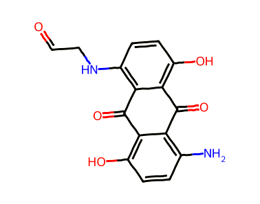 Nc1ccc(O)c2c1C(=O)c1c(O)ccc(NCC=O)c1C2=O